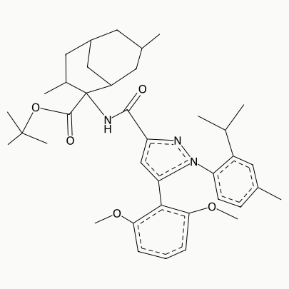 COc1cccc(OC)c1-c1cc(C(=O)NC2(C(=O)OC(C)(C)C)C(C)CC3CC(C)CC2C3)nn1-c1ccc(C)cc1C(C)C